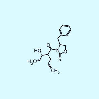 C=CC[C@H](C(=O)N1C(=S)OCC1Cc1ccccc1)[C@@H](O)C=C